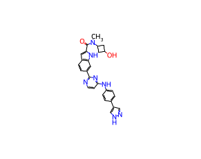 CN(C(=O)c1cc2ccc(-c3nccc(Nc4ccc(-c5cn[nH]c5)cc4)n3)cc2[nH]1)C1CC(O)C1